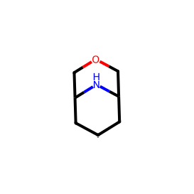 [CH]1CC2COCC(C1)N2